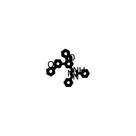 c1ccc(C2=NC(c3ccccc3)NC(c3cc(-c4ccc5oc6ccccc6c5c4)c4c(c3)oc3ccccc34)=N2)cc1